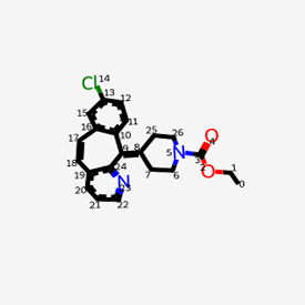 CCOC(=O)N1CCC(=C2c3ccc(Cl)cc3C=Cc3cccnc32)CC1